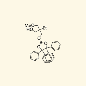 CCC(CO)(COC)COB1OC(c2ccccc2)(c2ccccc2)C(c2ccccc2)(c2ccccc2)O1